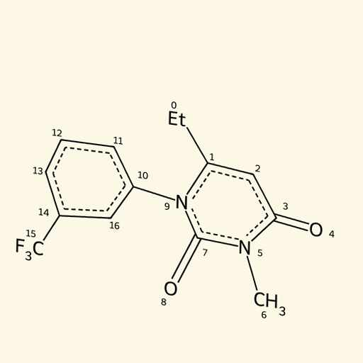 CCc1cc(=O)n(C)c(=O)n1-c1cccc(C(F)(F)F)c1